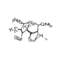 CCC(OC)C(C)C(OC)C(C)C(OC)C(C)C(OC)C(C)C